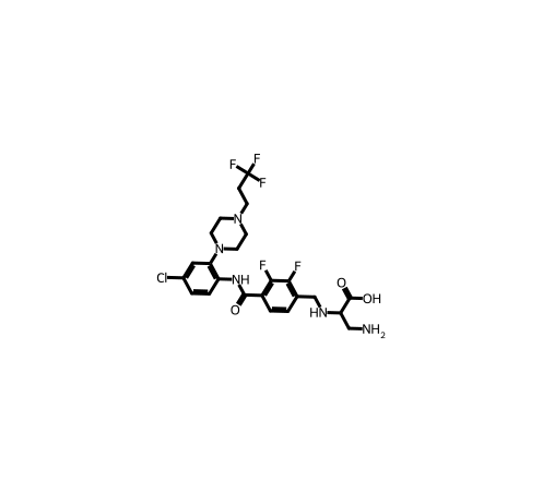 NCC(NCc1ccc(C(=O)Nc2ccc(Cl)cc2N2CCN(CCC(F)(F)F)CC2)c(F)c1F)C(=O)O